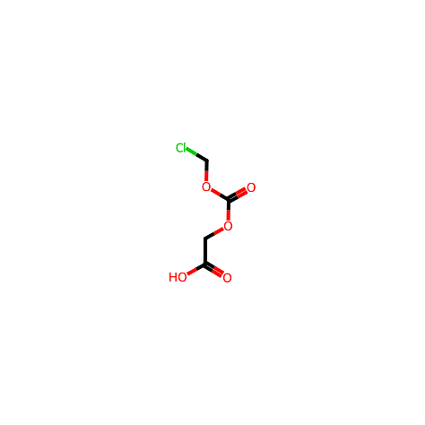 O=C(O)COC(=O)OCCl